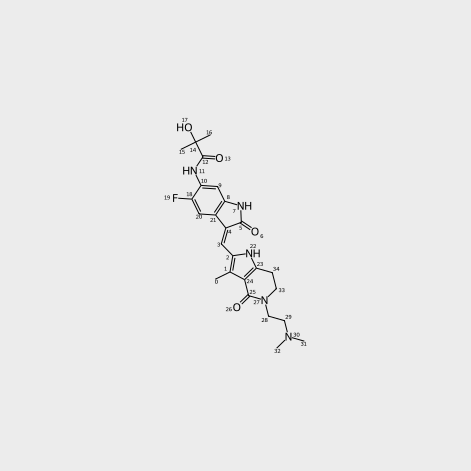 Cc1c(/C=C2\C(=O)Nc3cc(NC(=O)C(C)(C)O)c(F)cc32)[nH]c2c1C(=O)N(CCN(C)C)CC2